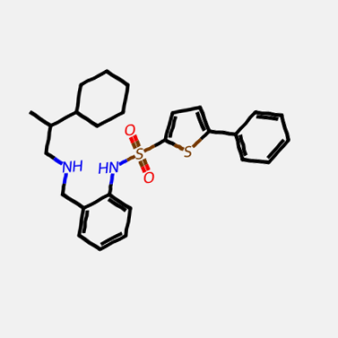 CC(CNCc1ccccc1NS(=O)(=O)c1ccc(-c2ccccc2)s1)C1CCCCC1